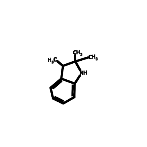 CC1c2ccccc2NC1(C)C